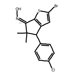 CC1(C)/C(=N/O)c2sc(Br)cc2C1c1ccc(Cl)cc1